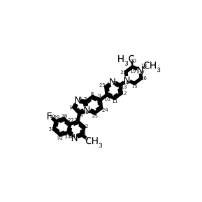 Cc1cc(-c2cnc3cc(-c4ccc(N5CCN(C)[C@H](C)C5)nc4)ccn23)c2cc(F)ccc2n1